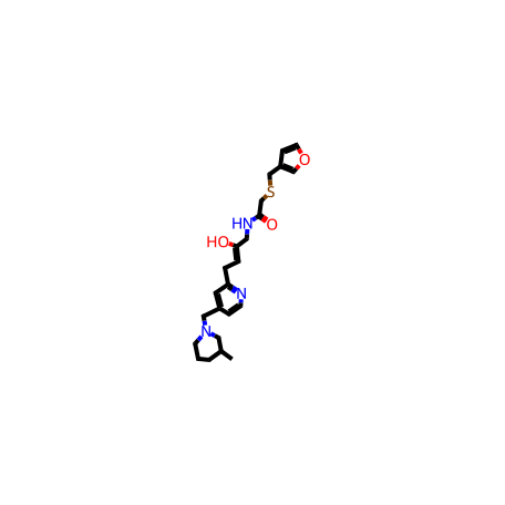 CC1CCCN(Cc2ccnc(CC=C(O)CNC(=O)CSCc3ccoc3)c2)C1